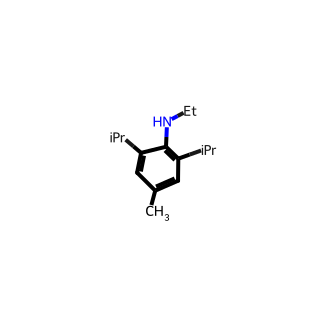 [CH2]CNc1c(C(C)C)cc(C)cc1C(C)C